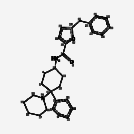 O=C(NC1CCC(c2ccccc2)(N2CCCCC2)CC1)c1ccc(Cc2ccccc2)o1